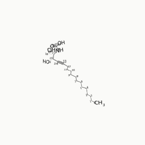 CCCCCCCCCCCCCC#C[C@H](O)[C@H](CO)NC(=O)O